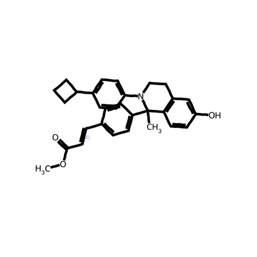 COC(=O)/C=C/c1ccc(C2(C)c3ccc(O)cc3CCN2c2ccc(C3CCC3)cc2)cc1